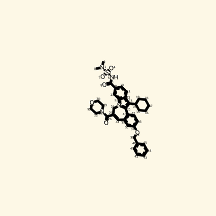 CN(C)S(=O)(=O)NC(=O)c1ccc2c(C3CCCCC3)c3n(c2c1)CC(C(=O)N1CCOCC1)=Cc1cc(OCc2ccccc2)ccc1-3